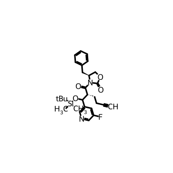 C#CCC[C@@H](C(=O)N1C(=O)OC[C@@H]1Cc1ccccc1)C(O[Si](C)(C)C(C)(C)C)c1cncc(F)c1